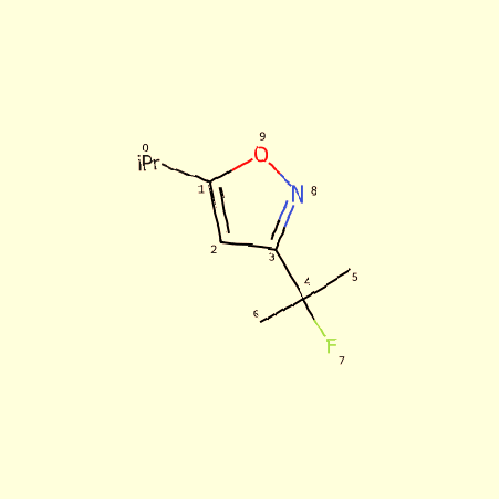 CC(C)c1cc(C(C)(C)F)no1